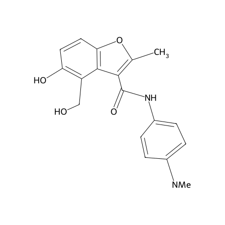 CNc1ccc(NC(=O)c2c(C)oc3ccc(O)c(CO)c23)cc1